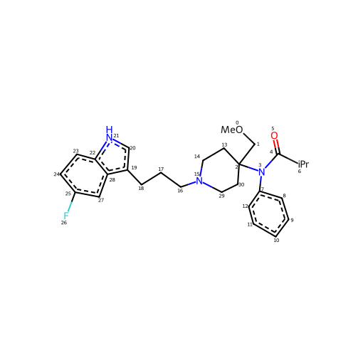 COCC1(N(C(=O)C(C)C)c2ccccc2)CCN(CCCc2c[nH]c3ccc(F)cc23)CC1